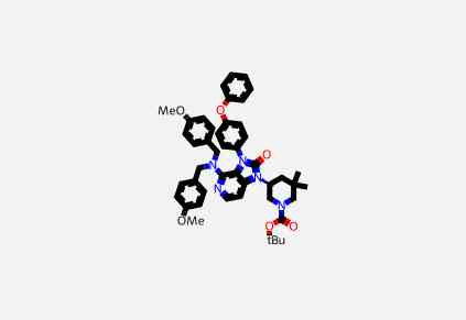 COc1ccc(CN(Cc2ccc(OC)cc2)c2nccc3c2n(-c2ccc(Oc4ccccc4)cc2)c(=O)n3[C@@H]2CN(C(=O)OC(C)(C)C)CC(C)(C)C2)cc1